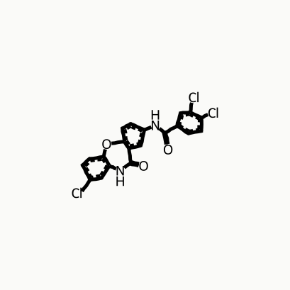 O=C(Nc1ccc2c(c1)C(=O)Nc1cc(Cl)ccc1O2)c1ccc(Cl)c(Cl)c1